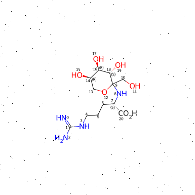 N=C(N)NCCC[C@H](NC1(CO)OC[C@@H](O)[C@@H](O)[C@@H]1O)C(=O)O